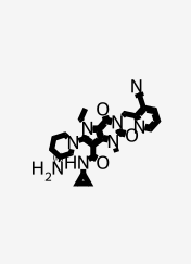 CCn1c(N2CCC[C@@H](N)C2)c(C(=O)NC2CC2)c2c1c(=O)n(Cc1ncccc1C#N)c(=O)n2C